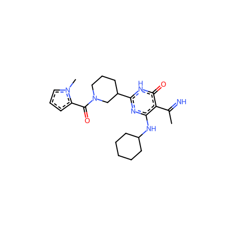 CC(=N)c1c(NC2CCCCC2)nc(C2CCCN(C(=O)c3cccn3C)C2)[nH]c1=O